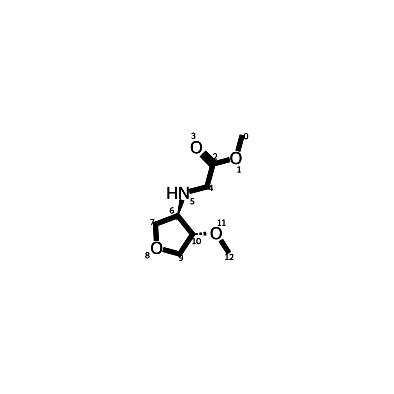 COC(=O)CN[C@@H]1COC[C@H]1OC